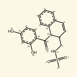 CS(=O)(=O)NCC1C=Cc2ccccc2N1C(=O)c1ccc(O)cc1O